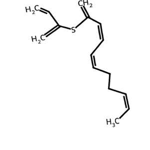 C=CC(=C)SC(=C)/C=C\C=C/CC/C=C\C